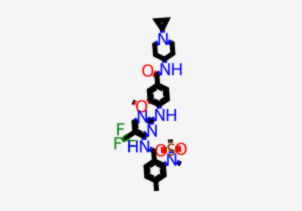 COc1cc(C(=O)NC2CCN(C3CC3)CC2)ccc1Nc1ncc(C(F)(F)F)c(NCc2ccc(C)cc2N(C)S(C)(=O)=O)n1